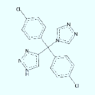 Clc1ccc(C(c2ccc(Cl)cc2)(c2c[nH]nn2)n2cnnc2)cc1